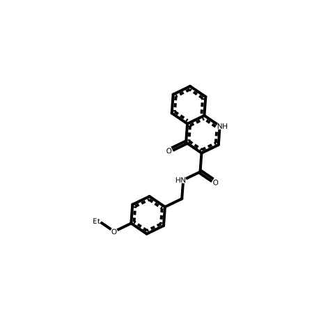 CCOc1ccc(CNC(=O)c2c[nH]c3ccccc3c2=O)cc1